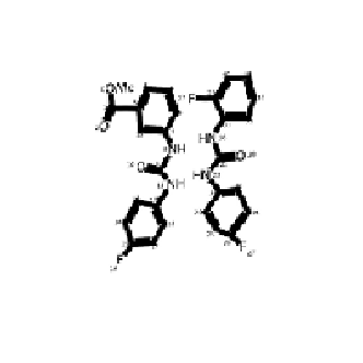 COC(=O)c1cccc(NC(=O)Nc2ccc(F)cc2)c1.O=C(Nc1ccc(F)cc1)Nc1ccccc1F